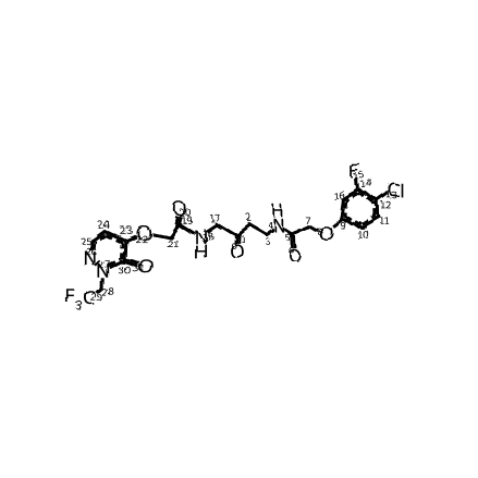 O=C(CCNC(=O)COc1ccc(Cl)c(F)c1)CNC(=O)COc1ccnn(CC(F)(F)F)c1=O